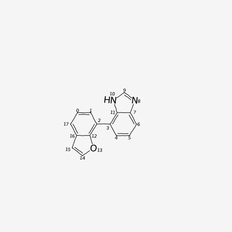 c1cc(-c2cccc3nc[nH]c23)c2occc2c1